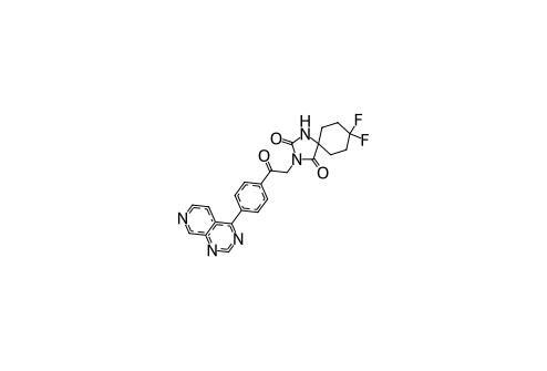 O=C(CN1C(=O)NC2(CCC(F)(F)CC2)C1=O)c1ccc(-c2ncnc3cnccc23)cc1